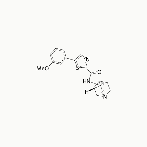 COc1cccc(-c2cnc(C(=O)N[C@H]3CN4CCC3CC4)s2)c1